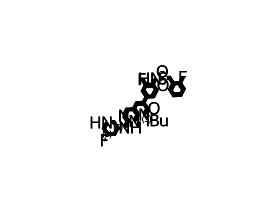 CC[C@H](C)n1c(=O)c(-c2ccc(NS(=O)(=O)Cc3ccccc3F)c(F)c2)cc2cnc(N[C@@H]3CNC[C@@H](F)C3)nc21